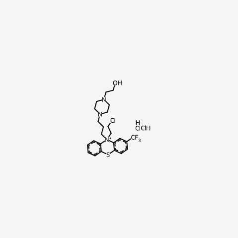 Cl.Cl.OCCN1CCN(CCC[N+]2(CCCl)c3ccccc3Sc3ccc(C(F)(F)F)cc32)CC1